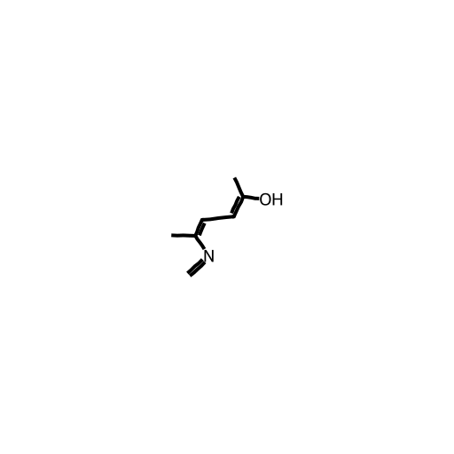 C=N/C(C)=C\C=C(/C)O